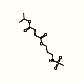 CC(C)OC(=O)C=CC(=O)OCCCNS(C)(=O)=O